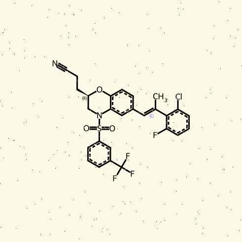 C/C(=C\c1ccc2c(c1)N(S(=O)(=O)c1cccc(C(F)(F)F)c1)C[C@@H](CCC#N)O2)c1c(F)cccc1Cl